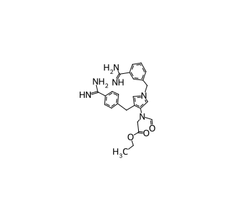 CCOC(=O)CN(C=O)c1cn(Cc2cccc(C(=N)N)c2)cc1Cc1ccc(C(=N)N)cc1